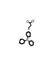 CCCC(=O)[O-].c1ccc([S+](c2ccccc2)c2ccccc2)cc1